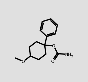 COC1CCC(OC(N)=O)(c2ccccc2)CC1